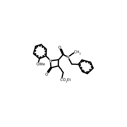 CCOC(=O)CC1C(=O)N(c2ccccc2OC)C1C(=O)N(C)Cc1ccccc1